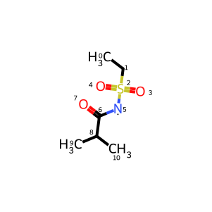 CCS(=O)(=O)[N]C(=O)C(C)C